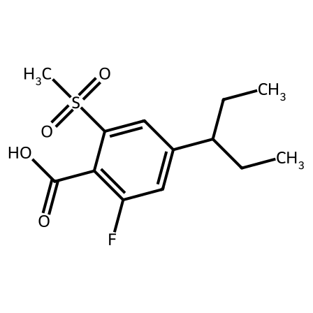 CCC(CC)c1cc(F)c(C(=O)O)c(S(C)(=O)=O)c1